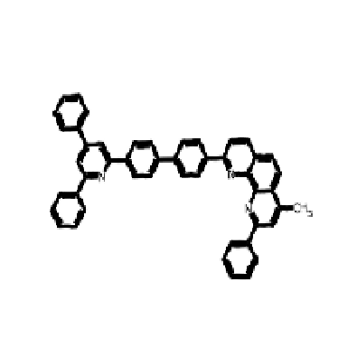 Cc1cc(-c2ccccc2)nc2c1ccc1ccc(-c3ccc(-c4ccc(-c5cc(-c6ccccc6)cc(-c6ccccc6)n5)cc4)cc3)nc12